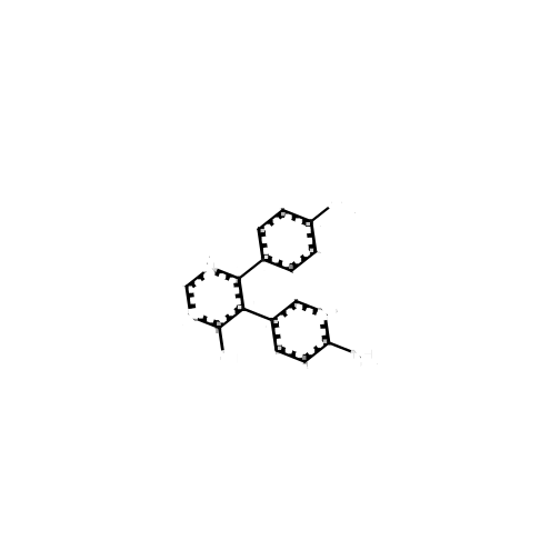 Cc1ncnc(-c2ccc(C(=O)O)cc2)c1-c1ccc(N)nc1